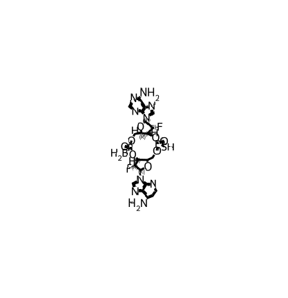 BP1(=O)OC[C@H]2O[C@@H](n3cnc4c(N)ncnc43)[C@H](F)[C@@H]2OP(=O)(S)OCC2O[C@@H](n3cnc4c(N)ccnc43)[C@H](F)[C@@H]2O1